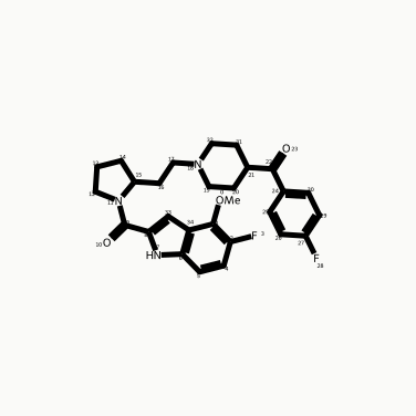 COc1c(F)ccc2[nH]c(C(=O)N3CCCC3CCN3CCC(C(=O)c4ccc(F)cc4)CC3)cc12